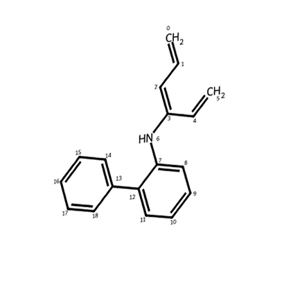 C=C/C=C(\C=C)Nc1ccccc1-c1ccccc1